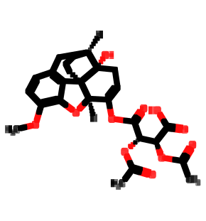 COc1ccc2c3c1O[C@@H]1C(OC(=O)[C@@H](OC(C)=O)[C@H](OC(C)=O)C(=O)O)=CC[C@]4(O)[C@@H](CCC[C@@]314)C2